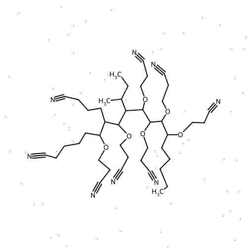 CCCCCC(OCCC#N)C(OCCC#N)C(OCCC#N)C(OCCC#N)C(C(C)CC)C(OCCC#N)C(CCCC#N)C(CCCCC#N)OCCC#N